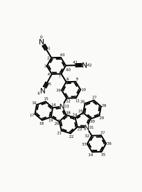 N#Cc1cc(C#N)c(-c2cccc(-n3c4ccccc4c4ccc5c(c6ccccc6n5-c5ccccc5)c43)c2)c(C#N)c1